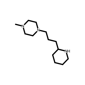 CN1CCN(CCCC2CCCCN2)CC1